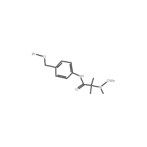 CON(C)C(C)(C)C(=O)Nc1ccc(COC(C)C)cc1